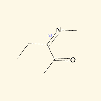 CC/C(=N/C)C(C)=O